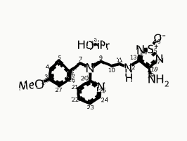 CC(C)O.COc1ccc(CN(CCCNc2n[s+]([O-])nc2N)c2ccccn2)cc1